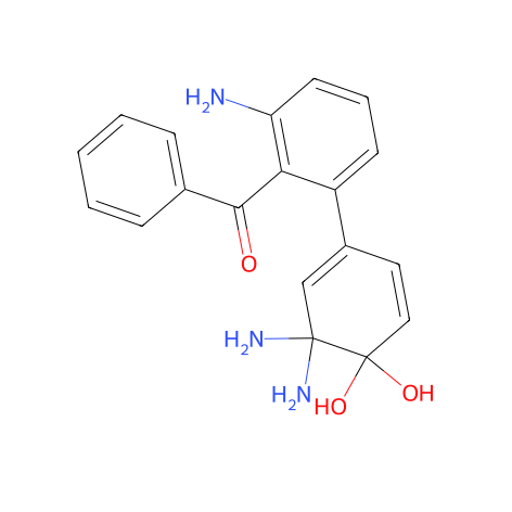 Nc1cccc(C2=CC(N)(N)C(O)(O)C=C2)c1C(=O)c1ccccc1